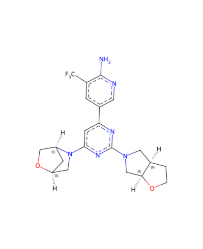 Nc1ncc(-c2cc(N3C[C@@H]4C[C@H]3CO4)nc(N3C[C@H]4CCO[C@H]4C3)n2)cc1C(F)(F)F